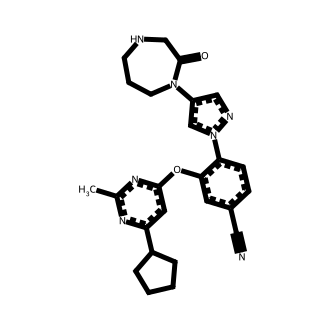 Cc1nc(Oc2cc(C#N)ccc2-n2cc(N3CCCNCC3=O)cn2)cc(C2CCCC2)n1